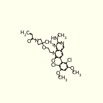 C=CC(=O)N1CC(C)(OCCn2c(=O)c(-c3c(Cl)c(OC)cc(OC)c3Cl)cc3cnc(NC)nc32)C1